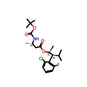 CC(C)[C@@H](c1c(F)cccc1Cl)[C@H](C)OC(=O)C[C@H](C)NC(=O)OC(C)(C)C